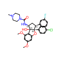 COc1cc(OC)c2c(c1)O[C@@]1(c3ccc(Cl)cc3)[C@H](c3cccc(F)c3)C[C@H](NC(=O)N3CCN(C)CC3)[C@@]21O